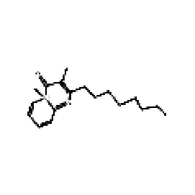 CCCCCCCCC1=C(C)C(=O)[N+]2(C)C=CC=CC2=N1